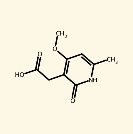 COc1cc(C)[nH]c(=O)c1CC(=O)O